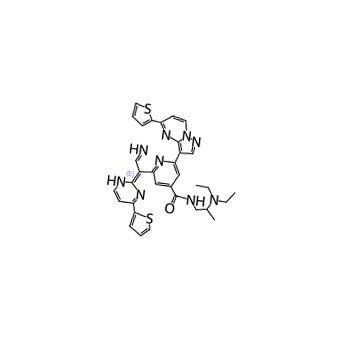 CCN(CC)C(C)CNC(=O)c1cc(/C(C=N)=C2\N=C(c3cccs3)C=CN2)nc(-c2cnn3ccc(-c4cccs4)nc23)c1